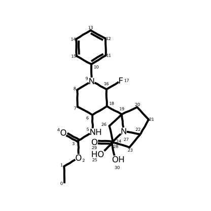 CCOC(=O)NC1CCN(c2ccccc2)C(F)C1C12CCC(CC(O)C1)N2C(=O)O